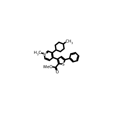 COC(=O)c1sc(-c2ccccc2)cc1-c1cc[n+](C)cc1C1CCC(C)CC1